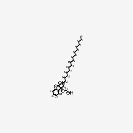 CCCCCCCCCCCCCCCCCCCCC(OCO)(C(=O)O)c1ccccc1